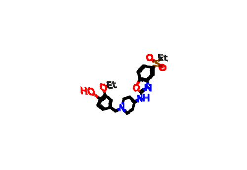 CCOc1cc(CN2CCC(Nc3nc4cc(S(=O)(=O)CC)ccc4o3)CC2)ccc1O